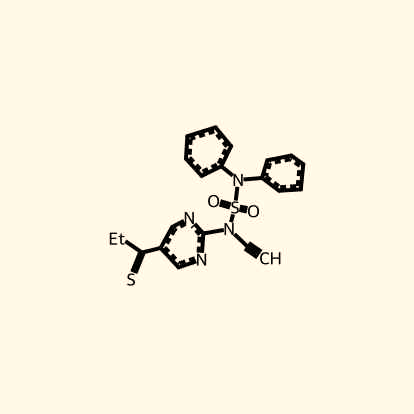 C#CN(c1ncc(C(=S)CC)cn1)S(=O)(=O)N(c1ccccc1)c1ccccc1